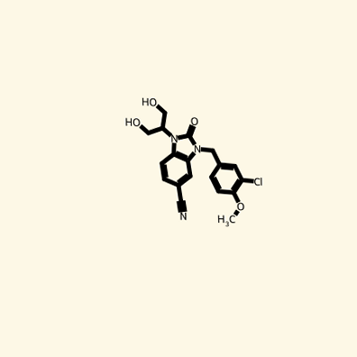 COc1ccc(Cn2c(=O)n(C(CO)CO)c3ccc(C#N)cc32)cc1Cl